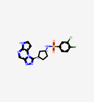 O=S(=O)(N[C@H]1CC[C@@H](c2nnc3cnc4[nH]ccc4n23)C1)c1ccc(F)c(Cl)c1